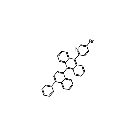 Brc1ccc(-c2c3ccccc3c(-c3ccc(-c4ccccc4)c4ccccc34)c3ccccc23)nc1